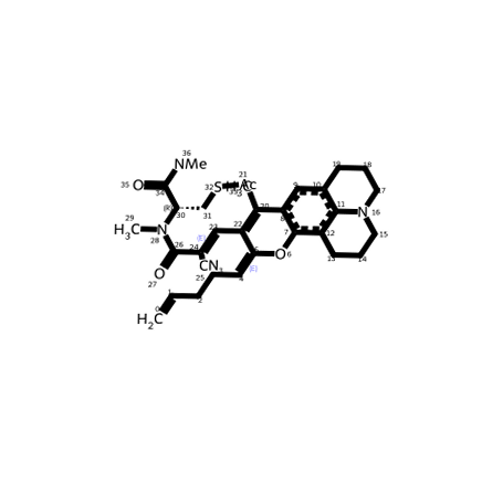 C=CCC/C=C1/Oc2c(cc3c4c2CCCN4CCC3)C(C)=C1/C=C(\C#N)C(=O)N(C)[C@@H](CSC(C)=O)C(=O)NC